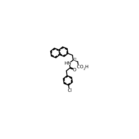 O=C(O)C[C@H](Cc1ccc2ccccc2c1)NC(=O)Cc1ccc(Cl)cc1